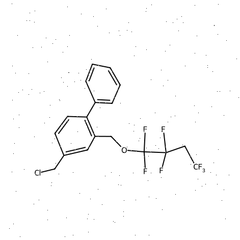 FC(F)(F)CC(F)(F)C(F)(F)OCc1cc(CCl)ccc1-c1ccccc1